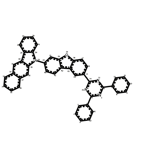 c1ccc(-c2nc(-c3ccccc3)nc(-c3ccc4oc5cc(-n6c7ccccc7c7cc8ccccc8cc76)ccc5c4c3)n2)cc1